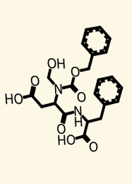 O=C(O)CC(C(=O)NC(Cc1ccccc1)C(=O)O)N(CO)C(=O)OCc1ccccc1